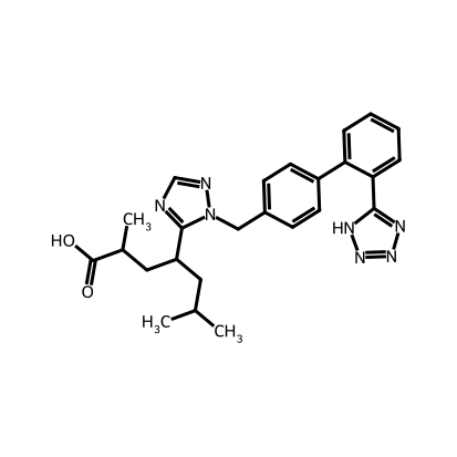 CC(C)CC(CC(C)C(=O)O)c1ncnn1Cc1ccc(-c2ccccc2-c2nnn[nH]2)cc1